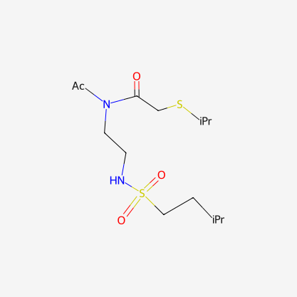 CC(=O)N(CCNS(=O)(=O)CCC(C)C)C(=O)CSC(C)C